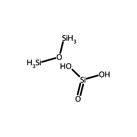 O=[Si](O)O.[SiH3]O[SiH3]